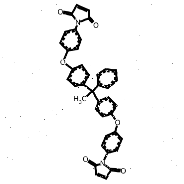 CC(c1ccccc1)(c1ccc(Oc2ccc(N3C(=O)C=CC3=O)cc2)cc1)c1ccc(Oc2ccc(N3C(=O)C=CC3=O)cc2)cc1